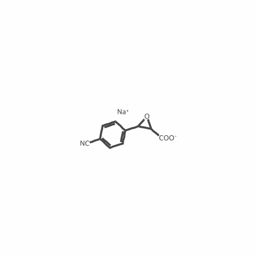 N#Cc1ccc(C2OC2C(=O)[O-])cc1.[Na+]